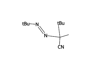 CC(C)(C)/N=N/C(C)(C#N)C(C)(C)C